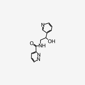 O=C(NCC(O)c1cccnc1)c1cccnn1